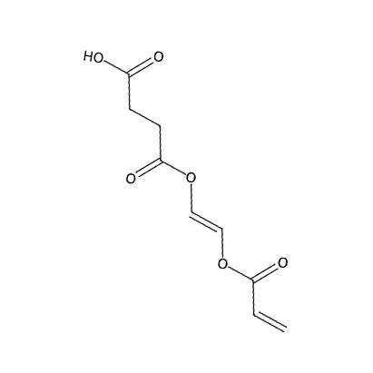 C=CC(=O)OC=COC(=O)CCC(=O)O